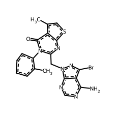 Cc1ccccc1-n1c(Cn2nc(Br)c3c(N)ncnc32)nc2scc(C)c2c1=O